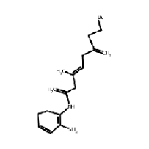 C=C(C/C=C(\C)CC(=C)NC1=C(N)C=CCC1)CCC(C)CC